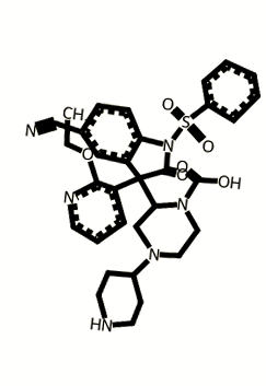 CCOc1ncccc1C1(C2CN(C3CCNCC3)CCN2C(=O)O)C(=O)N(S(=O)(=O)c2ccccc2)c2ccc(C#N)cc21